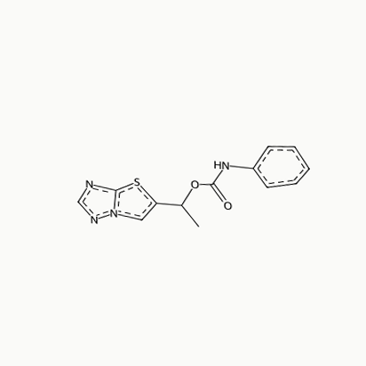 CC(OC(=O)Nc1ccccc1)c1cn2ncnc2s1